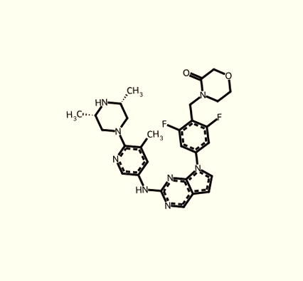 Cc1cc(Nc2ncc3ccn(-c4cc(F)c(CN5CCOCC5=O)c(F)c4)c3n2)cnc1N1C[C@@H](C)N[C@@H](C)C1